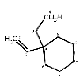 C=CC1(CC(=O)O)CCCCC1